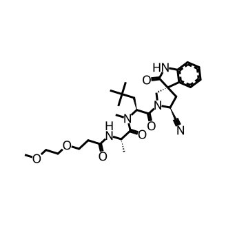 COCCOCCC(=O)N[C@@H](C)C(=O)N(C)[C@@H](CC(C)(C)C)C(=O)N1C[C@]2(C[C@H]1C#N)C(=O)Nc1ccccc12